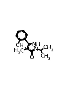 Cc1ccccc1-c1[nH]n(C(C)C)c(=O)c1C